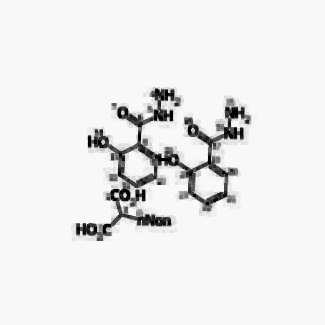 CCCCCCCCCC(C(=O)O)C(=O)O.NNC(=O)c1ccccc1O.NNC(=O)c1ccccc1O